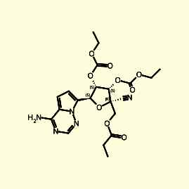 CCOC(=O)O[C@H]1[C@H](c2ccc3c(N)ncnn23)O[C@](C#N)(COC(=O)CC)[C@H]1OC(=O)OCC